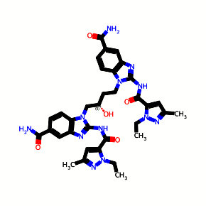 CCn1nc(C)cc1C(=O)Nc1nc2cc(C(N)=O)ccc2n1CC[C@H](O)Cn1c(NC(=O)c2cc(C)nn2CC)nc2cc(C(N)=O)ccc21